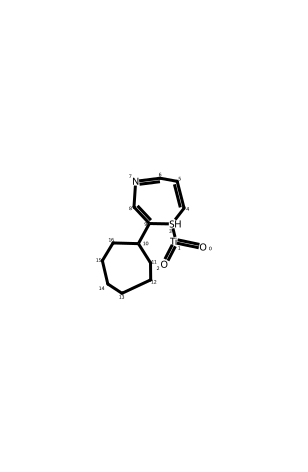 [O]=[Ti](=[O])[SH]1C=CC=NC=C1C1CCCCCC1